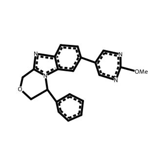 COc1ncc(-c2ccc3nc4n(c3c2)C(c2ccccc2)COC4)cn1